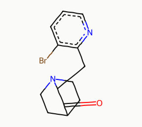 O=C1C2CCN(CC2)C1Cc1ncccc1Br